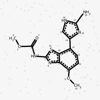 COC(=O)Nc1nc2c(OC)ccc(-c3c[nH]c(N)n3)c2s1